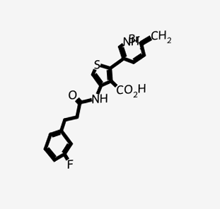 C=C(Br)/C=C\C(=C/N)c1scc(NC(=O)CCc2cccc(F)c2)c1C(=O)O